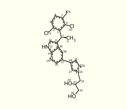 C[C@H](c1c(Cl)ccc(F)c1Cl)c1c[nH]c2ncc(-c3cnn(CC(O)CO)c3)cc12